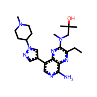 CCc1nc2c(N)ncc(-c3cnn(C4CCN(C)CC4)c3)c2nc1N(C)CC(C)(C)O